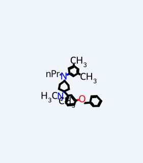 CCCN(c1cc(C)cc(C)c1)C1CCC(c2cccc(OCc3ccccc3)c2)(N(C)C)CC1